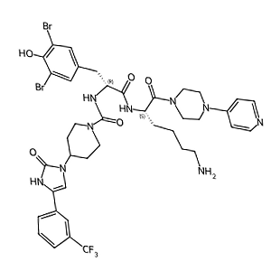 NCCCC[C@H](NC(=O)[C@@H](Cc1cc(Br)c(O)c(Br)c1)NC(=O)N1CCC(n2cc(-c3cccc(C(F)(F)F)c3)[nH]c2=O)CC1)C(=O)N1CCN(c2ccncc2)CC1